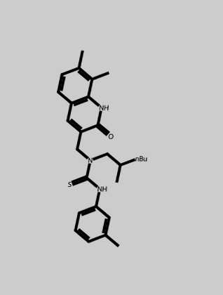 CCCCC(C)CN(Cc1cc2ccc(C)c(C)c2[nH]c1=O)C(=S)Nc1cccc(C)c1